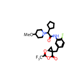 COC1CCN(C(C(=O)Nc2cc(CC3(C(=O)OC(=O)C(F)(F)F)CC3)ccc2F)C2CCCC2)CC1